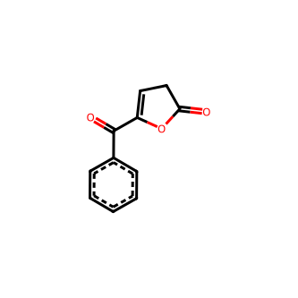 O=C1CC=C(C(=O)c2ccccc2)O1